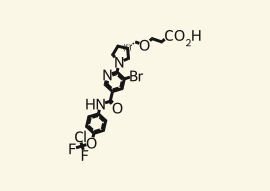 O=C(O)CCOC[C@H]1CCN(c2ncc(C(=O)Nc3ccc(OC(F)(F)Cl)cc3)cc2Br)C1